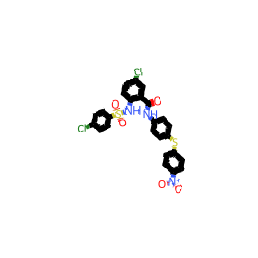 O=C(Nc1ccc(Sc2ccc([N+](=O)[O-])cc2)cc1)c1cc(Cl)ccc1NS(=O)(=O)c1ccc(Cl)cc1